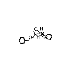 CO[C@@H]1OC2(COCc3ccccc3)CO[C@@H]1[C@@H]2OCc1ccccc1